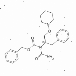 NC(=O)N(C(=O)OCc1ccccc1)[C@@H](CON1CCCCC1)Cc1ccccc1